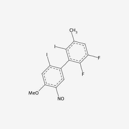 COc1cc(I)c(-c2c(F)c(F)cc(C)c2I)cc1N=O